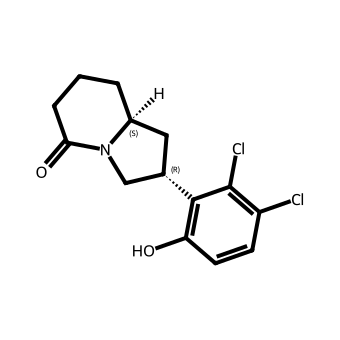 O=C1CCC[C@H]2C[C@H](c3c(O)ccc(Cl)c3Cl)CN12